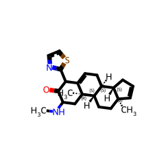 CNC1C[C@@]2(C)C(=CC[C@H]3[C@@H]4CC=C[C@@]4(C)CC[C@@H]32)C(c2nccs2)C1=O